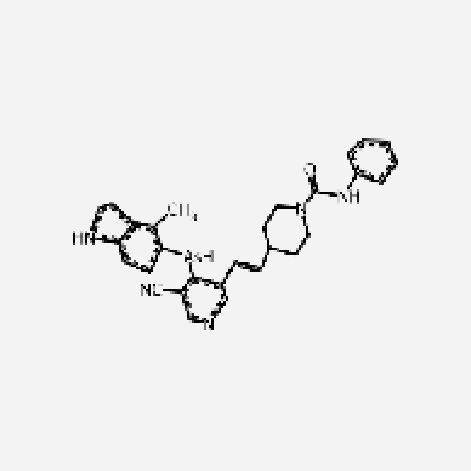 Cc1c([AsH]c2c(C#N)cncc2/C=C/C2CCN(C(=O)Nc3ccccc3)CC2)ccc2[nH]ccc12